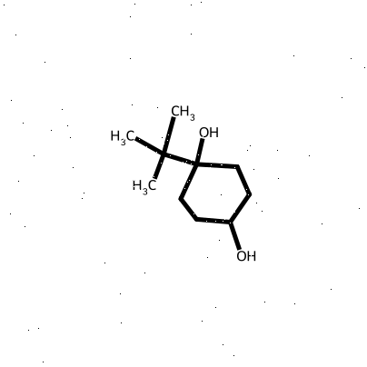 CC(C)(C)C1(O)CCC(O)CC1